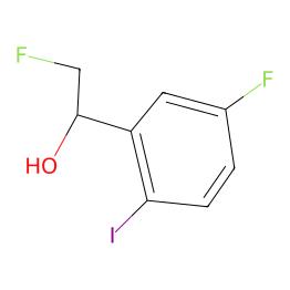 OC(CF)c1cc(F)ccc1I